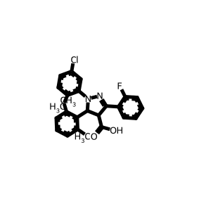 Cc1ccc(Cl)cc1N1N=C(c2ccccc2F)C(C(=O)O)C1c1c(C)cccc1C